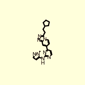 Cn1nccc1Nc1nccc(-c2ccn3c(CCC4CCCC4)nnc3c2)n1